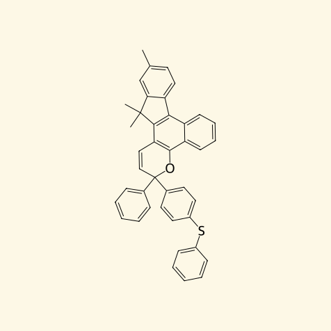 Cc1ccc2c(c1)C(C)(C)c1c3c(c4ccccc4c1-2)OC(c1ccccc1)(c1ccc(Sc2ccccc2)cc1)C=C3